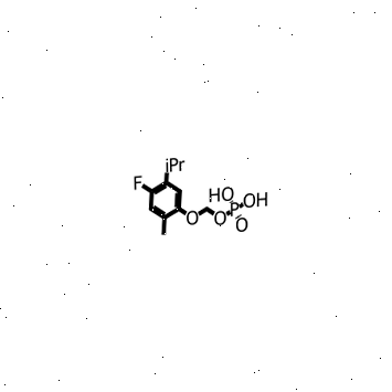 Cc1cc(F)c(C(C)C)cc1OCOP(=O)(O)O